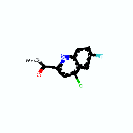 COC(=O)c1cc(Cl)c2cc(F)ccc2n1